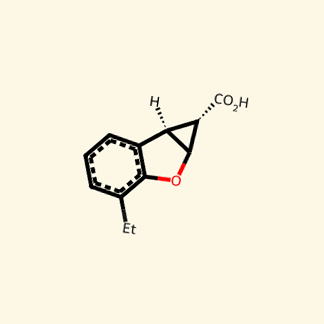 CCc1cccc2c1OC1[C@@H](C(=O)O)[C@H]21